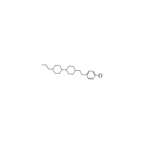 CCCC1CCC(C2CCC(CCc3ccc(Cl)cc3)CC2)CC1